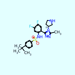 Cc1nnc(-c2cc(F)c(F)cc2NS(=O)(=O)c2ccc(C(C)(C)C)cc2)n1[C@H]1CCNC1